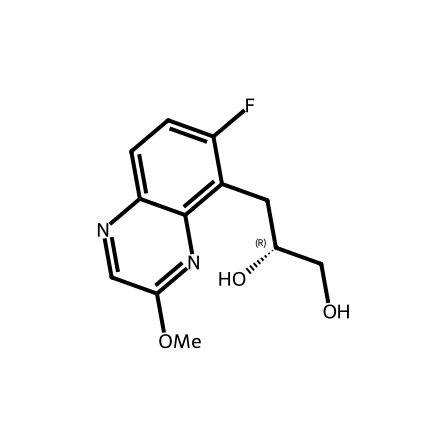 COc1cnc2ccc(F)c(C[C@@H](O)CO)c2n1